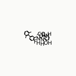 Cc1cccc(C)c1-c1ccc(F)c([C@H](CC(=O)O)NC(=O)Nc2c(O)ccn(C)c2=O)c1